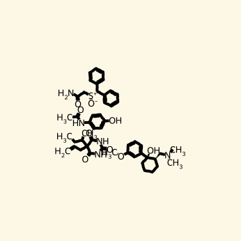 C=CCC1(C(C)CC)C(=O)NC(=O)NC1=O.CC(=O)Nc1ccc(O)cc1.COc1cccc([C@@]2(O)CCCC[C@@H]2CN(C)C)c1.NC(=O)C[S+]([O-])C(c1ccccc1)c1ccccc1